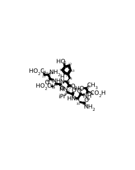 CC(C)[C@H](NC(=O)[C@H](Cc1ccc(O)cc1)NC(=O)[C@H](CC(=O)O)NC(=O)[C@@H](N)CC(=O)O)C(=O)N[C@@H](CC(N)=O)C(=O)N[C@H](C(=O)O)[C@@H](C)O